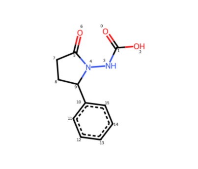 O=C(O)NN1C(=O)CCC1c1ccccc1